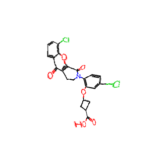 O=C(O)C1CC(Oc2cc(Cl)ccc2N2CCc3c(oc4c(Cl)cccc4c3=O)C2=O)C1